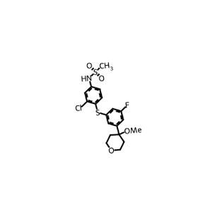 COC1(c2cc(F)cc(Sc3ccc(NS(C)(=O)=O)cc3Cl)c2)CCOCC1